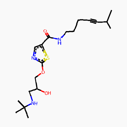 CC(C)C#CCCCNC(=O)c1cnc(OCC(O)CNC(C)(C)C)s1